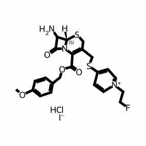 COc1ccc(COC(=O)C2=C(CSc3cc[n+](CCF)cc3)CS[C@H]3C(N)C(=O)N23)cc1.Cl.[I-]